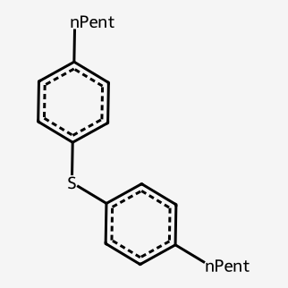 CCCCCc1ccc(Sc2ccc(CCCCC)cc2)cc1